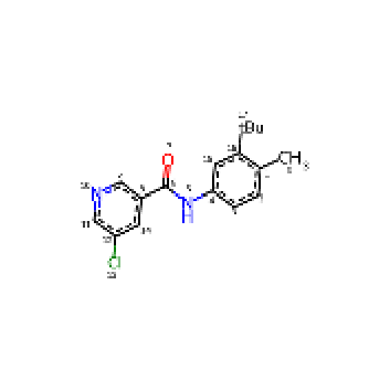 Cc1ccc(NC(=O)c2cncc(Cl)c2)cc1C(C)(C)C